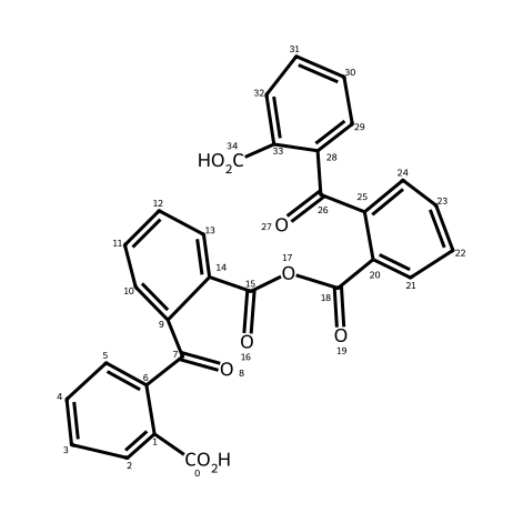 O=C(O)c1ccccc1C(=O)c1ccccc1C(=O)OC(=O)c1ccccc1C(=O)c1ccccc1C(=O)O